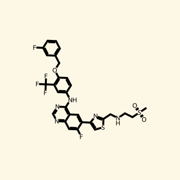 CS(=O)(=O)CCNCc1nc(-c2cc3c(Nc4ccc(OCc5cccc(F)c5)c(C(F)(F)F)c4)ncnc3cc2F)cs1